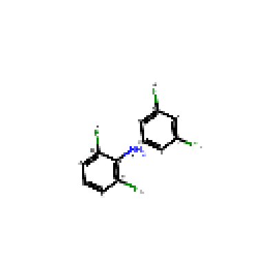 Fc1cccc(F)c1.Nc1c(F)cccc1F